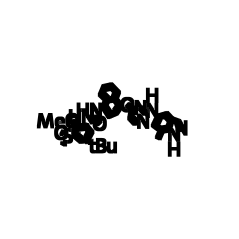 COc1c(NC(=O)Nc2ccc(Oc3ccnc(Nc4cc(C)c5[nH]ncc5c4)n3)c3ccccc23)cc(C(C)(C)C)cc1[S+](C)[O-]